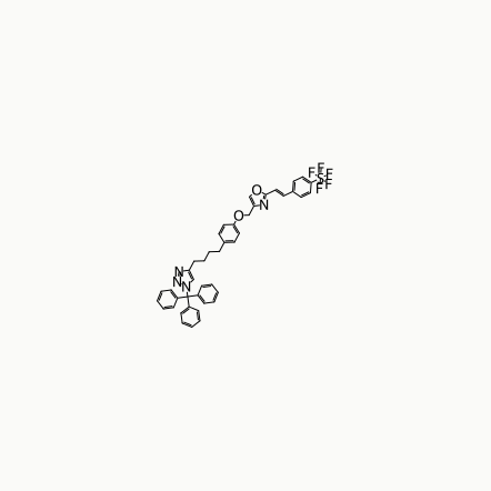 FS(F)(F)(F)(F)c1ccc(C=Cc2nc(COc3ccc(CCCCc4cn(C(c5ccccc5)(c5ccccc5)c5ccccc5)nn4)cc3)co2)cc1